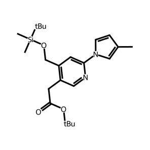 Cc1ccn(-c2cc(CO[Si](C)(C)C(C)(C)C)c(CC(=O)OC(C)(C)C)cn2)c1